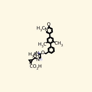 C=C(/N=C\C(=N/C)OCc1cccc(-c2c(C)cc(-c3ccc(=O)n(C)c3)cc2C)c1)C1C[C@H]1C(=O)O